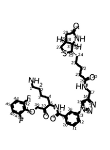 NCCCCC(NC(=O)c1cccc(-n2cc(CNC(=O)CCCC[C@@H]3SC[C@@H]4CC(=O)N[C@@H]43)nn2)c1)C(=O)COc1c(F)cccc1F